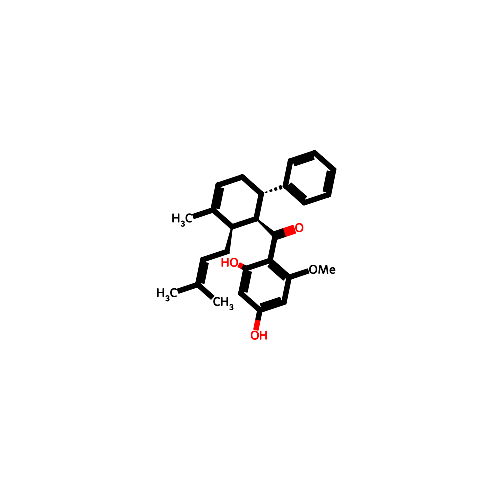 COc1cc(O)cc(O)c1C(=O)[C@@H]1[C@@H](c2ccccc2)CC=C(C)[C@@H]1CC=C(C)C